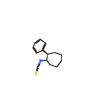 S=C=N[C@@H]1CCCCC[C@@H]1c1ccccc1